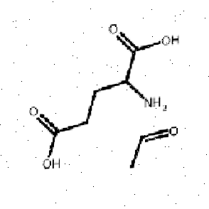 CC=O.NC(CCC(=O)O)C(=O)O